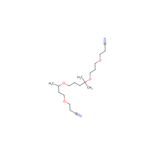 CC(CCOCCC#N)OCCCC(C)(C)OCCCOCCC#N